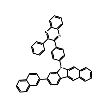 c1ccc(-c2nc3ccccc3nc2-c2ccc(-n3c4cc(-c5ccc6ccccc6c5)ccc4c4cc5ccccc5cc43)cc2)cc1